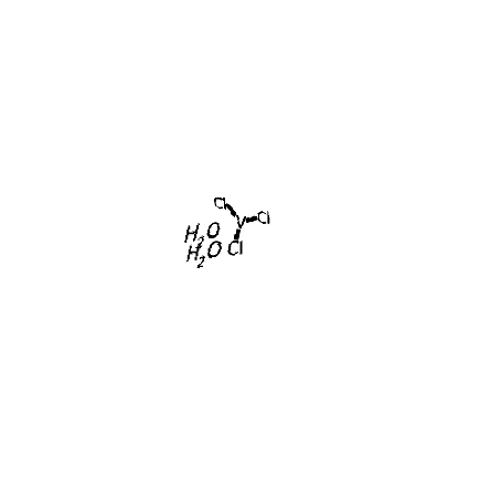 O.O.[Cl][V]([Cl])[Cl]